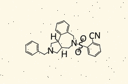 N#Cc1ccccc1S(=O)(=O)N1Cc2ccccc2[C@H]2CN(Cc3ccccc3)C[C@@H]2C1